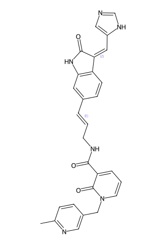 Cc1ccc(Cn2cccc(C(=O)NC/C=C/c3ccc4c(c3)NC(=O)/C4=C\c3cnc[nH]3)c2=O)cn1